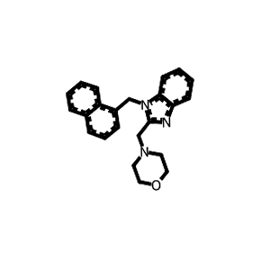 c1ccc2c(Cn3c(CN4CCOCC4)nc4ccccc43)cccc2c1